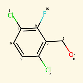 [O]Cc1c(Cl)ccc(Cl)c1F